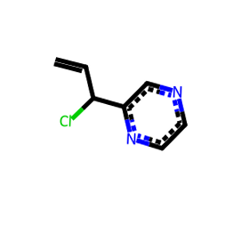 C=CC(Cl)c1cnccn1